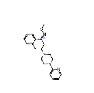 CO/N=C(/CCN1CCN(c2ccccn2)CC1)c1ccccc1C